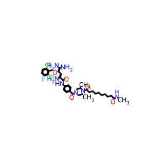 CNC(=O)CCCCCCCCC(=O)N1[C@H](C)CN(C(=O)c2ccc(NC(=O)/C(N)=C/C(OCc3c(Cl)ccc(F)c3Cl)=C(N)N)cc2)C[C@@H]1C